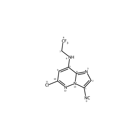 [C-]#[N+]c1cnc2c(NCC(F)(F)F)cc(Cl)nn12